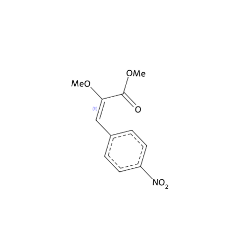 COC(=O)/C(=C\c1ccc([N+](=O)[O-])cc1)OC